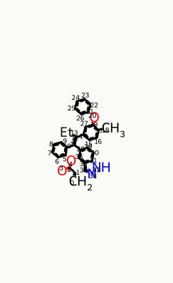 C=CC(=O)Oc1ccccc1/C(=C(\CC)c1ccc(C)c(Oc2ccccc2)c1)c1ccc2[nH]ncc2c1